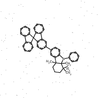 CC1(C)CCCC2(C)c3cc(-c4ccc5c(c4)-c4ccccc4C54c5ccccc5-c5ccccc54)ccc3N(c3ccccc3)C12C